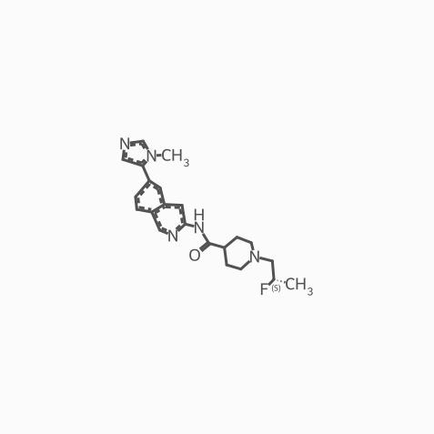 C[C@H](F)CN1CCC(C(=O)Nc2cc3cc(-c4cncn4C)ccc3cn2)CC1